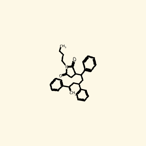 CCCCN1C(=O)CC(C(CC(CC(C)c2ccccc2)c2ccccc2)c2ccccc2)C1=O